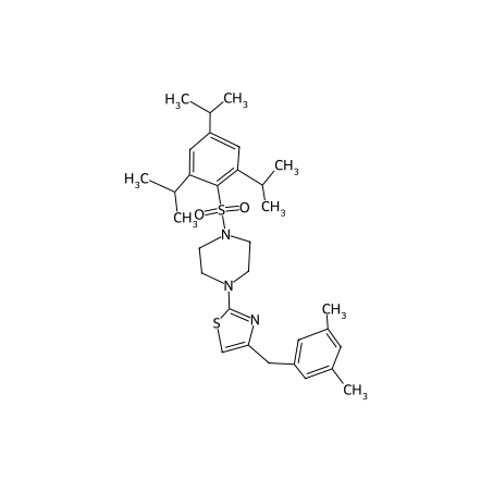 Cc1cc(C)cc(Cc2csc(N3CCN(S(=O)(=O)c4c(C(C)C)cc(C(C)C)cc4C(C)C)CC3)n2)c1